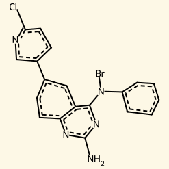 Nc1nc(N(Br)c2ccccc2)c2cc(-c3ccc(Cl)nc3)ccc2n1